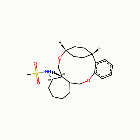 CS(=O)(=O)N[C@H]1CCCCC2COc3ccccc3[C@H]3CC[C@H](CC3)OC[C@H]21